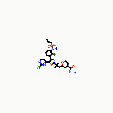 CCCS(=O)(=O)Nc1cccc(-c2nc(C(C)(C)CC3CC(C(N)=O)CCO3)sc2-c2ccnc(Cl)n2)c1F